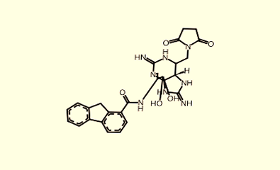 N=C1N[C@H]2C(CN3C(=O)CCC3=O)NC(=N)N3CC(NC(=O)c4cccc5c4Cc4ccccc4-5)C(O)(O)[C@]23N1